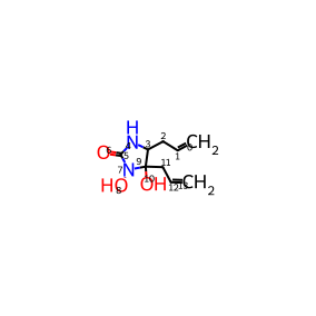 C=CCC1NC(=O)N(O)C1(O)CC=C